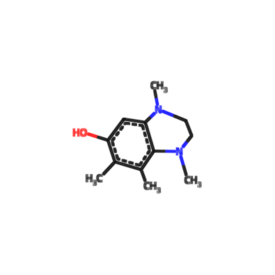 Cc1c(O)cc2c(c1C)N(C)CCN2C